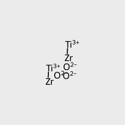 [O-2].[O-2].[O-2].[Ti+3][Zr].[Ti+3][Zr]